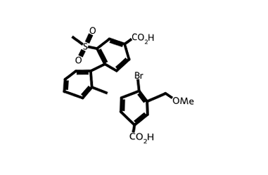 COCc1cc(C(=O)O)ccc1Br.Cc1ccccc1-c1ccc(C(=O)O)cc1S(C)(=O)=O